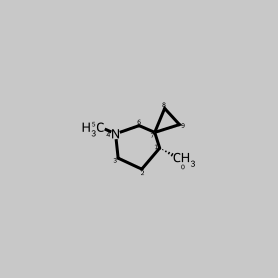 C[C@@H]1CCN(C)CC12CC2